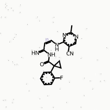 Cc1ncc(C#N)c(N/C=C\C(=N)NC(=O)C2(c3ccccc3F)CC2)n1